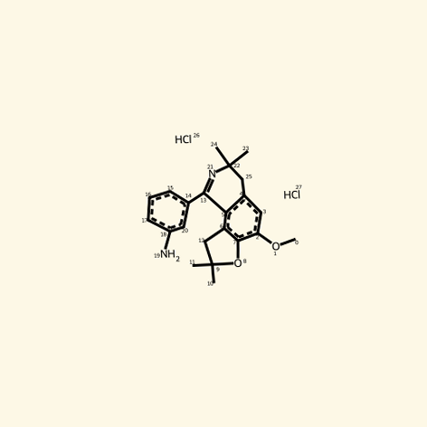 COc1cc2c(c3c1OC(C)(C)C3)C(c1cccc(N)c1)=NC(C)(C)C2.Cl.Cl